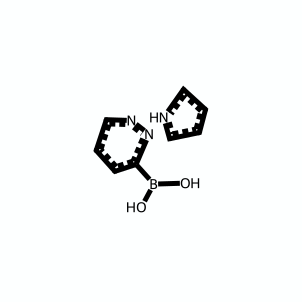 OB(O)c1cccnn1.c1cc[nH]c1